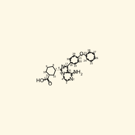 Nc1nccn2c([C@H]3CCC[C@H](C(=O)O)C3)nc(-c3ccc(Oc4ccccc4)cc3)c12